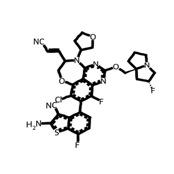 N#C/C=C/C1COc2c(Cl)c(-c3ccc(F)c4sc(N)c(C#N)c34)c(F)c3nc(OC[C@@]45CCCN4C[C@H](F)C5)nc(c23)N1C1CCOC1